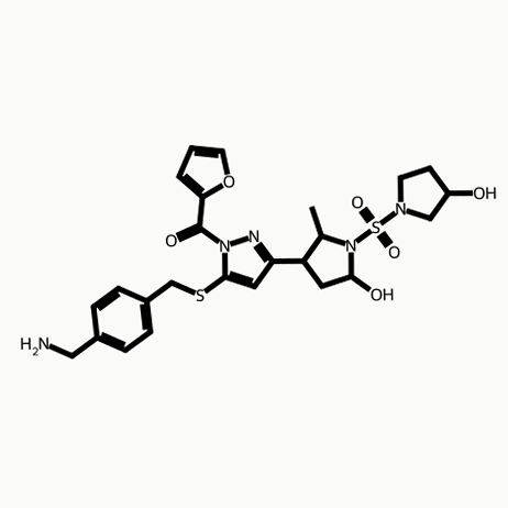 CC1C(c2cc(SCc3ccc(CN)cc3)n(C(=O)c3ccco3)n2)CC(O)N1S(=O)(=O)N1CCC(O)C1